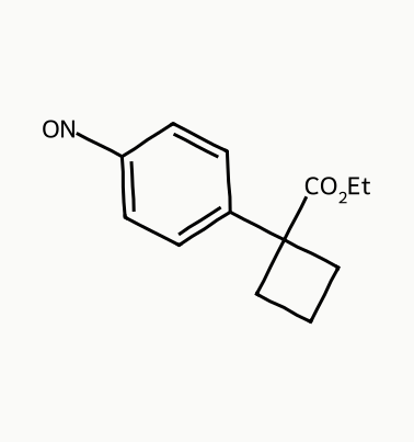 CCOC(=O)C1(c2ccc(N=O)cc2)CCC1